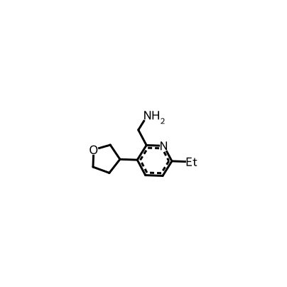 CCc1ccc(C2CCOC2)c(CN)n1